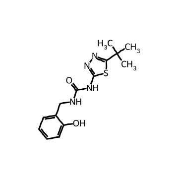 CC(C)(C)c1nnc(NC(=O)NCc2ccccc2O)s1